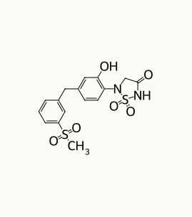 CS(=O)(=O)c1cccc(Cc2ccc(N3CC(=O)NS3(=O)=O)c(O)c2)c1